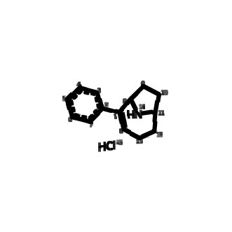 C1=C(c2ccccc2)C2CCC(CC1)N2.Cl